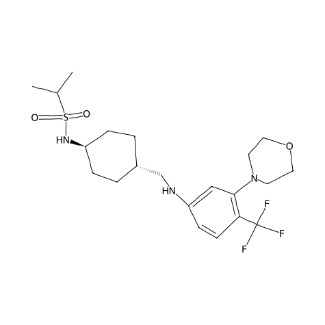 CC(C)S(=O)(=O)N[C@H]1CC[C@H](CNc2ccc(C(F)(F)F)c(N3CCOCC3)c2)CC1